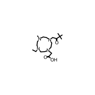 CCN1CCN(C)CCN(CC(=O)C(C)(C)C)CCN(CC(=O)O)CC1